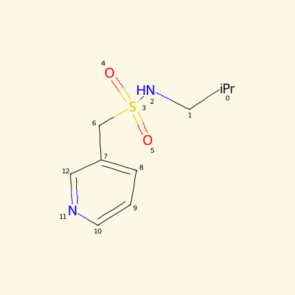 CC(C)CNS(=O)(=O)Cc1cccnc1